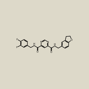 O=C(NCc1ccc(F)c(F)c1)c1cc(C(=O)NCc2ccc3c(c2)CCO3)ncn1